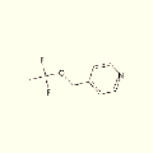 CC(F)(F)OCc1ccncc1